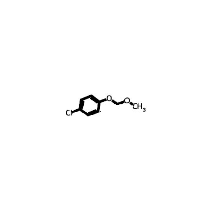 COCOc1[c]cc(Cl)cc1